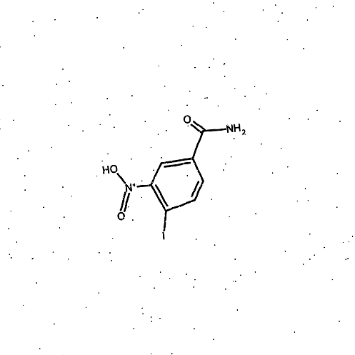 NC(=O)c1ccc(I)c([N+](=O)O)c1